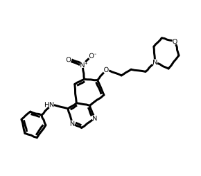 O=[N+]([O-])c1cc2c(Nc3ccccc3)ncnc2cc1OCCCN1CCOCC1